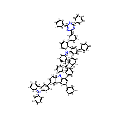 c1ccc(-c2ccc3c(c2)c2cc(-c4ccc5c(c4)c4ccccc4n5-c4ccccc4)ccc2n3-c2ccc3c(c2)C2(c4ccccc4-c4ccccc42)c2cc(-n4c5ccc(-c6ccccc6)cc5c5c(-c6cccc(-c7nc(-c8ccccc8)nc(-c8ccccc8)n7)c6)cccc54)ccc2-3)cc1